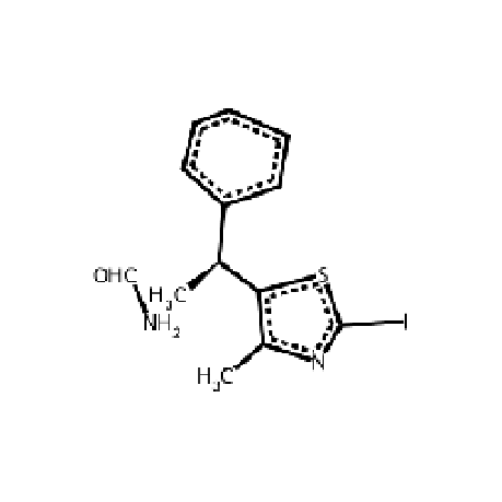 Cc1nc(I)sc1[C@@H](C)c1ccccc1.NC=O